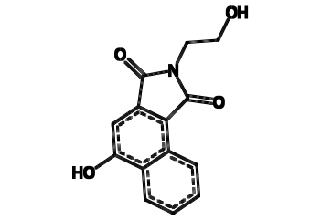 O=C1c2cc(O)c3ccccc3c2C(=O)N1CCO